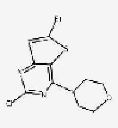 CCc1cc2nc(Cl)nc(N3CCOCC3)c2s1